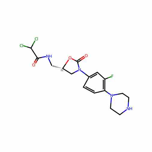 O=C(NC[C@H]1CN(c2ccc(N3CCNCC3)c(F)c2)C(=O)O1)C(Cl)Cl